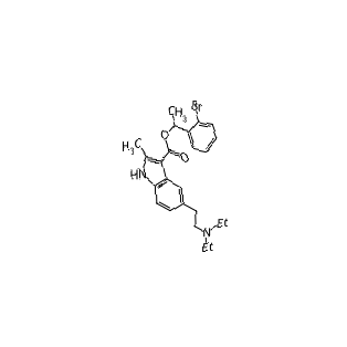 CCN(CC)CCc1ccc2[nH]c(C)c(C(=O)OC(C)c3ccccc3Br)c2c1